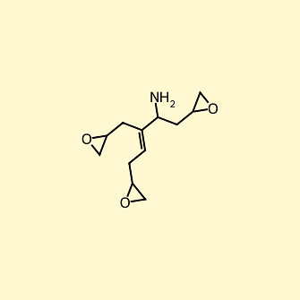 NC(CC1CO1)C(=CCC1CO1)CC1CO1